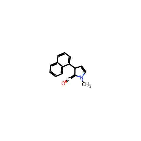 CN1C=CC(c2cccc3ccccc23)C1=C=O